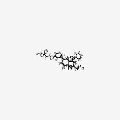 CCOC(=O)CCOc1cccc(-c2ccc3nc(N)nc(NC4CCCCC4)c3c2)c1